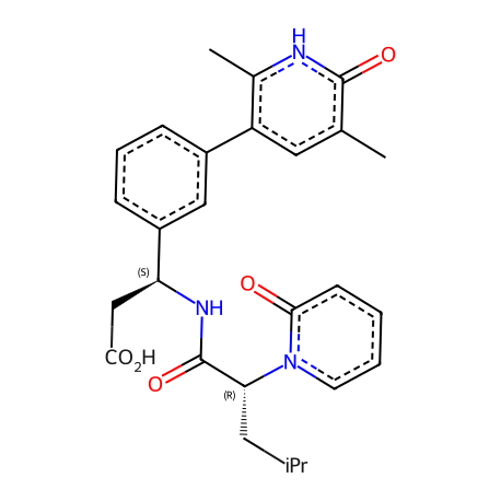 Cc1[nH]c(=O)c(C)cc1-c1cccc([C@H](CC(=O)O)NC(=O)[C@@H](CC(C)C)n2ccccc2=O)c1